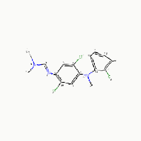 CCN(C)C=Nc1cc(Cl)c(N(C)c2ccccc2Cl)cc1Cl